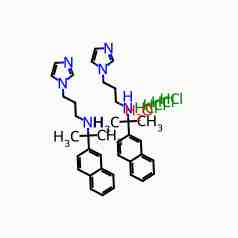 CC(C)(NCCCn1ccnc1)c1ccc2ccccc2c1.CC(C)(NCCCn1ccnc1)c1ccc2ccccc2c1.Cl.Cl.Cl.Cl.O